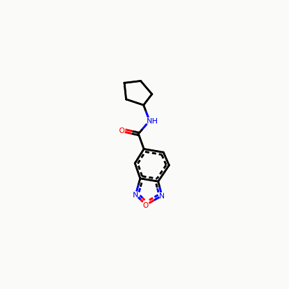 O=C(NC1CCCC1)c1ccc2nonc2c1